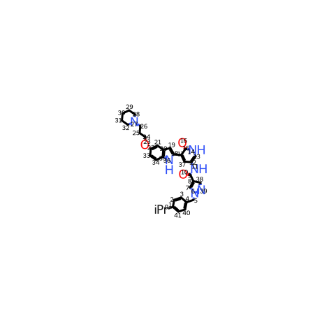 CC(C)c1ccc(Cn2cc(C(=O)Nc3c[nH]c(=O)c(-c4cc5cc(OCCCN6CCCCC6)ccc5[nH]4)c3)cn2)cc1